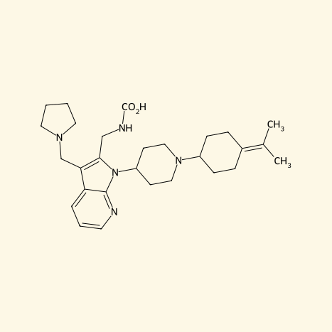 CC(C)=C1CCC(N2CCC(n3c(CNC(=O)O)c(CN4CCCC4)c4cccnc43)CC2)CC1